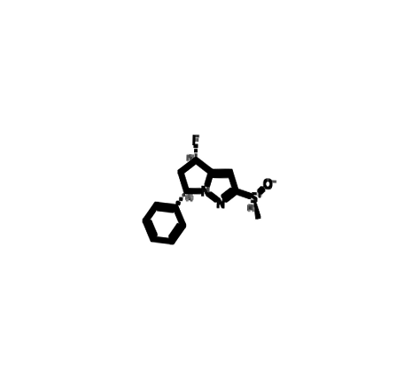 C[S@+]([O-])c1cc2n(n1)[C@H](c1ccccc1)C[C@@H]2F